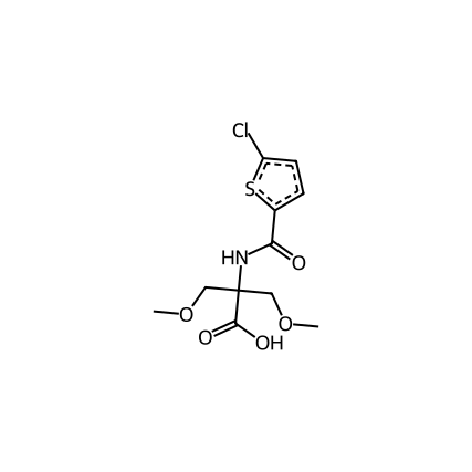 COCC(COC)(NC(=O)c1ccc(Cl)s1)C(=O)O